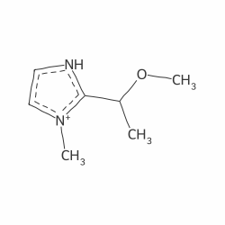 COC(C)c1[nH]cc[n+]1C